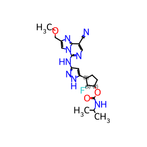 COCc1cn2c(Nc3cc([C@H]4CC[C@@H](OC(=O)NC(C)C)[C@H]4F)[nH]n3)ncc(C#N)c2n1